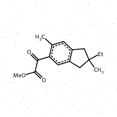 CCC1(C)Cc2cc(C)c(C(=O)C(=O)OC)cc2C1